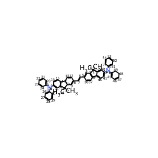 CC1(C)c2cc(/C=C/C3=CC4C(C=C3)c3ccc(N(c5ccccc5)c5ccccc5)cc3C4(C)C)ccc2-c2ccc(N(C3=CC=CCC3)c3ccccc3)cc21